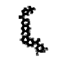 Cc1cc(CC(=O)Nc2cnn(C(C)(C)C)c2)c(F)cc1Oc1ccnc2ccc(C(=O)N3C[C@@H](C)N[C@@H](C)C3)cc12